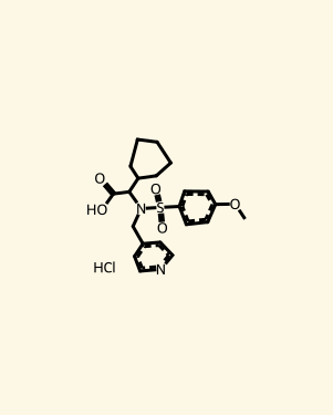 COc1ccc(S(=O)(=O)N(Cc2ccncc2)C(C(=O)O)C2CCCCC2)cc1.Cl